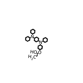 C=CC(O)Oc1ccc(N(c2ccccc2)c2ccc(N(c3ccccc3)c3ccccc3)cc2)cc1